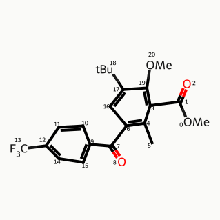 COC(=O)c1c(C)c(C(=O)c2ccc(C(F)(F)F)cc2)cc(C(C)(C)C)c1OC